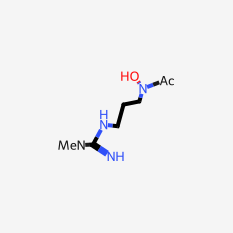 CNC(=N)NCCCN(O)C(C)=O